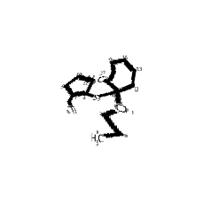 CCCOC1(SC2=[C]([Ti])CC=C2)CC=CC=C1C